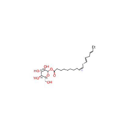 CCC=CCC=CC/C=C\CCCCCCCC(=O)OC1O[C@H](CO)[C@@H](O)[C@H](O)[C@H]1O